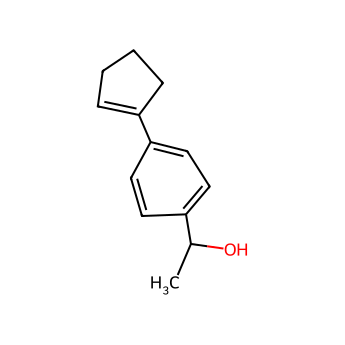 CC(O)c1ccc(C2=CCCC2)cc1